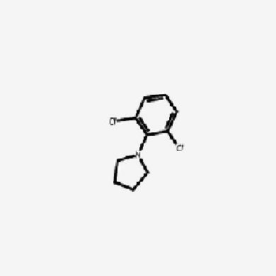 Clc1cccc(Cl)c1N1C[CH]CC1